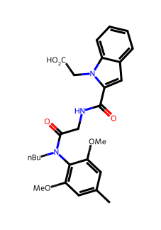 CCCCN(C(=O)CNC(=O)c1cc2ccccc2n1CC(=O)O)c1c(OC)cc(C)cc1OC